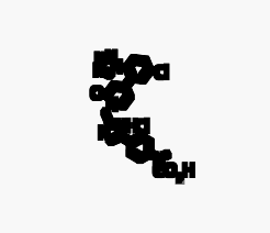 CN(C(=O)O)c1ccc(-c2cnc(Cn3ccc(-c4cc(Cl)ccc4-n4cnnn4)cc3=O)[nH]2)c(Cl)c1